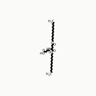 CCCCCCCCCCCCCCOC(=O)CCC(NC(=O)CCC(=O)O)C(=O)OCCCCCCCCCCCCCC